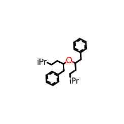 CC(C)CCC(Cc1ccccc1)OC(CCC(C)C)Cc1ccccc1